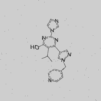 CC(C)c1c(O)nc(-n2ccnc2)nc1-c1cnn(Cc2ccncc2)c1